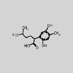 Cc1cc(O)c(C(CCC(C)C)C(=O)O)cc1O